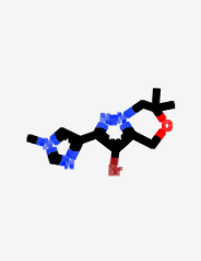 Cn1cnc(-c2nn3c(c2Br)COC(C)(C)C3)c1